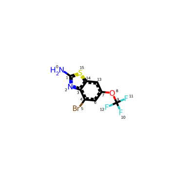 Nc1nc2c(Br)cc(OC(F)(F)F)cc2s1